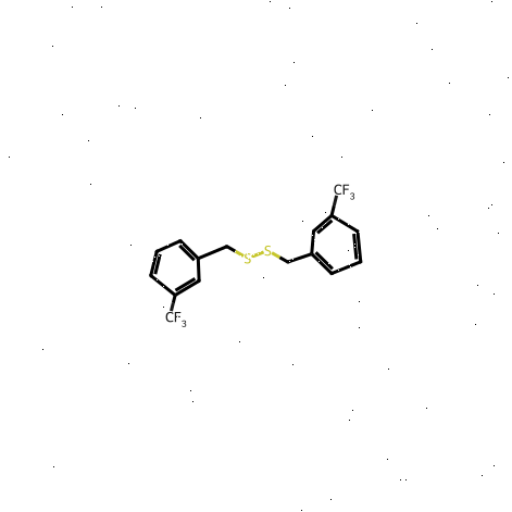 FC(F)(F)c1cccc(CSSCc2cccc(C(F)(F)F)c2)c1